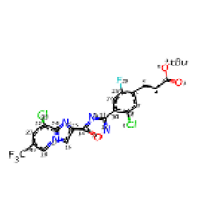 CC(C)(C)OC(=O)CCc1cc(Cl)c(-c2noc(-c3cn4cc(C(F)(F)F)cc(Cl)c4n3)n2)cc1F